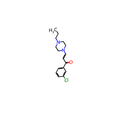 CCCN1CCN(C=CC(=O)c2cccc(Cl)c2)CC1